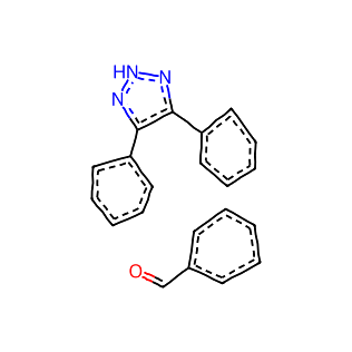 O=Cc1ccccc1.c1ccc(-c2n[nH]nc2-c2ccccc2)cc1